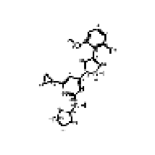 COc1cccc(F)c1C1=CNC(c2cc(C3CC3)nc(NC3CCNC3)n2)C1